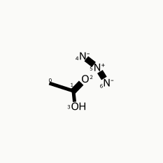 CC(=O)O.[N-]=[N+]=[N-]